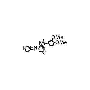 COc1ccc(-c2c(C)nc3c(NCc4ccncc4)cc(C)nn23)cc1OC